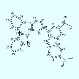 CC(C)c1ccc2sc3c(-c4cccc(-c5nc6ccccc6n5-c5ccccc5)c4)cc(C(C)C)cc3c2c1